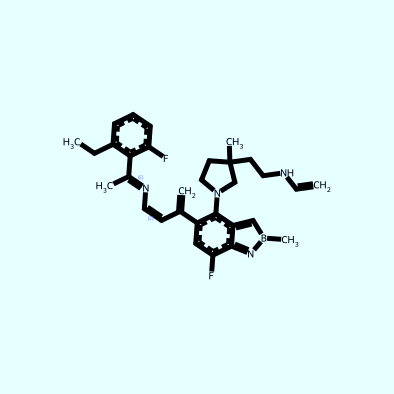 C=CNCCC1(C)CCN(c2c(C(=C)/C=C\N=C(/C)c3c(F)cccc3CC)cc(F)c3c2=CB(C)N=3)C1